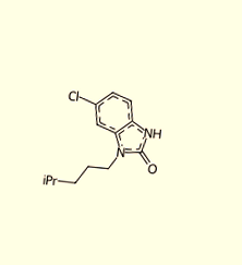 CC(C)CCCn1c(=O)[nH]c2ccc(Cl)cc21